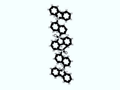 O=P1(c2cccc3c(-n4c5ccccc5c5ccccc54)cccc23)c2cccc3c2-c2c1cccc2P3(=O)c1cccc2c(-n3c4ccccc4c4ccccc43)cccc12